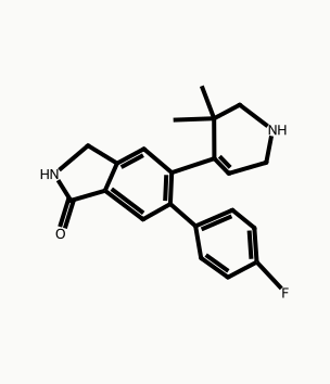 CC1(C)CNCC=C1c1cc2c(cc1-c1ccc(F)cc1)C(=O)NC2